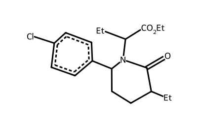 CCOC(=O)C(CC)N1C(=O)C(CC)CCC1c1ccc(Cl)cc1